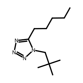 CCCCCc1nnnn1CC(C)(C)C